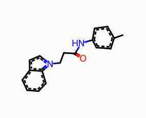 Cc1ccc(NC(=O)CCn2ccc3ccccc32)cc1